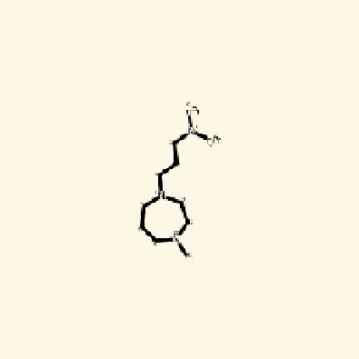 CCCN(CCC)CCCN1CCCN(C)CC1